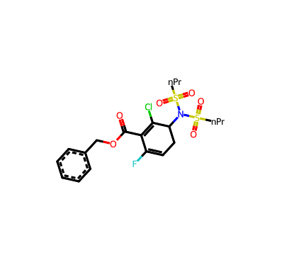 CCCS(=O)(=O)N(C1CC=C(F)C(C(=O)OCc2ccccc2)=C1Cl)S(=O)(=O)CCC